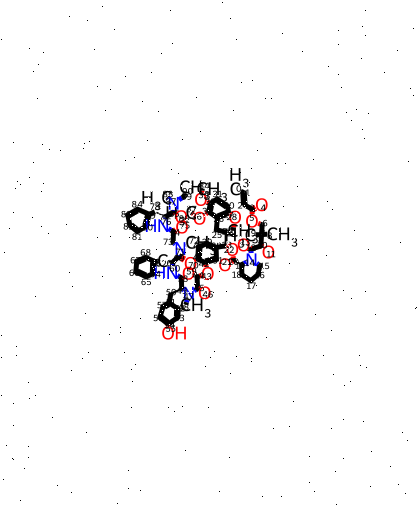 C/C=C/C(=O)OCC(C)(C)C(=O)C(=O)N1CCCC[C@H]1C(=O)O[C@H](CCc1c(OC)ccc(OC)c1OC)c1cccc(OCC(=O)N(C)[C@@H](Cc2ccc(O)cc2)C(=O)N[C@H](Cc2ccccc2)C(=O)N(C)CC(=O)N[C@H](Cc2ccccc2)C(=O)N(C)CC)c1